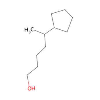 CC(CCCCO)C1CCCC1